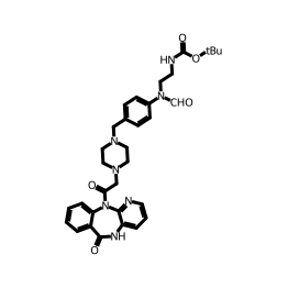 CC(C)(C)OC(=O)NCCN(C=O)c1ccc(CN2CCN(CC(=O)N3c4ccccc4C(=O)Nc4cccnc43)CC2)cc1